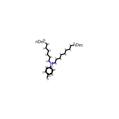 CCCCCCCCCCCCCCCCCCN(CCCCCCCCCCCCCCCC)c1ccc(C)cc1